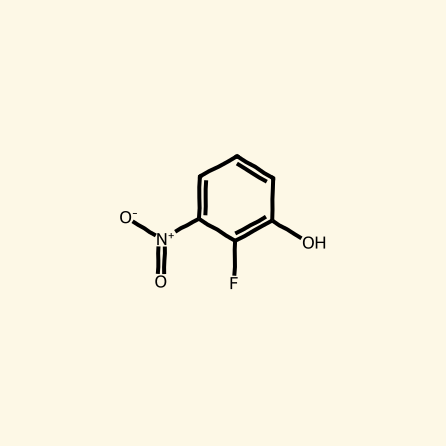 O=[N+]([O-])c1cccc(O)c1F